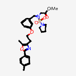 COC(=O)CN(Cc1cccc(OCCc2nc(-c3ccc(C)cc3)oc2C)c1)S(=O)(=O)N1CCCC1